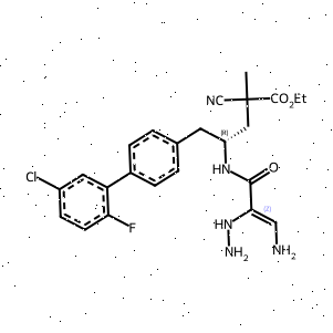 CCOC(=O)C(C)(C#N)C[C@@H](Cc1ccc(-c2cc(Cl)ccc2F)cc1)NC(=O)/C(=C/N)NN